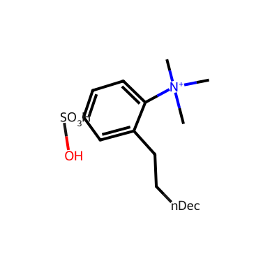 CCCCCCCCCCCCc1ccccc1[N+](C)(C)C.O=S(=O)(O)O